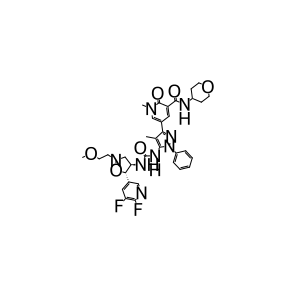 COCCN1C[C@@H](NC(=O)Nc2c(C)c(-c3cc(C(=O)NC4CCOCC4)c(=O)n(C)c3)nn2-c2ccccc2)[C@H](c2cnc(F)c(F)c2)O1